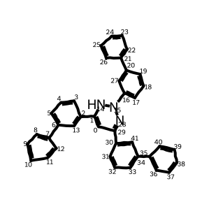 C1=C(c2cccc(-c3ccccc3)c2)NN(c2cccc(-c3ccccc3)c2)N=C1c1cccc(-c2ccccc2)c1